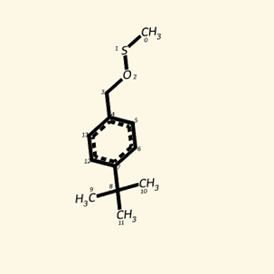 CSOCc1ccc(C(C)(C)C)cc1